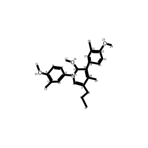 CCCC1=[C]N(c2ccc(OC)c(C)c2)C(OC)C(c2ccc(OC)c(C)c2)=C1C